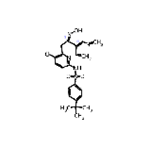 C=CC(=C\N=C)/C(Cc1nc(NS(=O)(=O)c2ccc(C(C)(C)C)cc2)ccc1Cl)=N\O